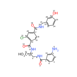 Nc1cccc(C(=O)NC[C@H](NC(=O)c2ccc(C(=O)NCc3cccc(O)c3)cc2Cl)C(=O)O)c1